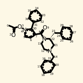 CC(=O)On1ccc(C(=O)N2CCN(Cc3ccccc3)C[C@H]2Cc2ccccc2)c1-c1ccccc1